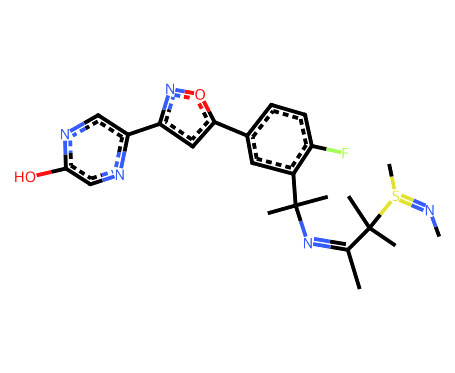 C/N=S(/C)C(C)(C)/C(C)=N\C(C)(C)c1cc(-c2cc(-c3cnc(O)cn3)no2)ccc1F